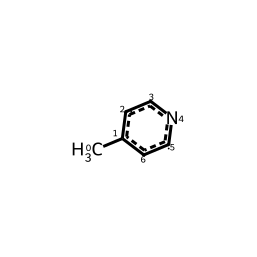 Cc1[c]cn[c]c1